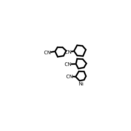 [C-]#[N+]C1CCCCC1.[C-]#[N+]C1CCCCC1.[C-]#[N+]C1CCCCC1.[C-]#[N+]C1CCCCC1.[Ni]